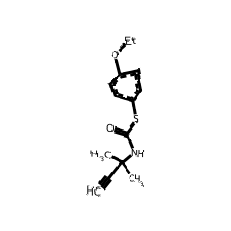 C#CC(C)(C)NC(=O)Sc1ccc(OCC)cc1